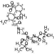 Cc1ccc(-c2c(C)cccc2S(=O)(=O)O)c(O)c1CC(=O)NCCON(C(=O)OC(C)(C)C)C(N)=NC(=O)OC(C)(C)C